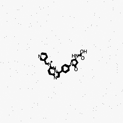 CN(Cc1cccnc1)c1ccc2ncc(-c3ccc(N4C[C@@H](NC(=O)O)CC4=O)cc3)n2n1